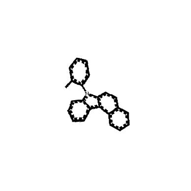 Cc1ccccc1-n1c2ccccc2c2c3ccccc3ccc21